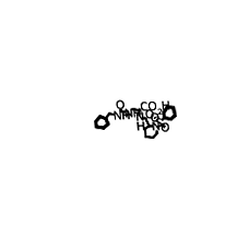 O=C(NCc1ccccc1)NC[C@H](NC(=O)C1CCCCN1S(=O)(=O)c1ccccc1)C(=O)O